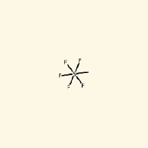 CS(F)(F)(F)(F)F